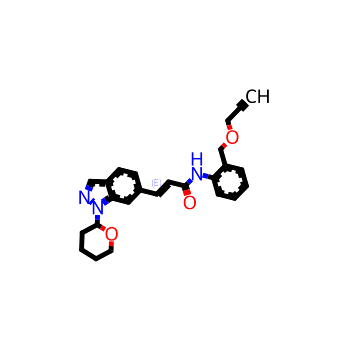 C#CCOCc1ccccc1NC(=O)/C=C/c1ccc2cnn(C3CCCCO3)c2c1